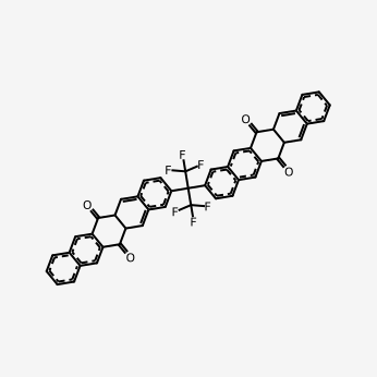 O=C1c2cc3ccccc3cc2C(=O)C2C=c3cc(C(c4ccc5cc6c(cc5c4)C(=O)C4C=c5ccccc5=CC4C6=O)(C(F)(F)F)C(F)(F)F)ccc3=CC12